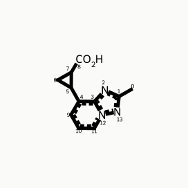 Cc1nc2c(C3CC3C(=O)O)cccn2n1